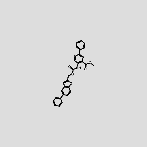 COC(=O)c1nc(-c2ccccc2)ncc1NC(=O)OCc1cc2cc(-c3ccccc3)ccc2o1